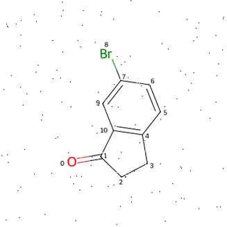 O=C1[CH]Cc2ccc(Br)cc21